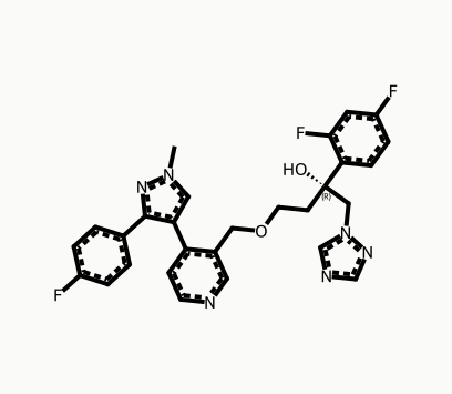 Cn1cc(-c2ccncc2COCC[C@](O)(Cn2cncn2)c2ccc(F)cc2F)c(-c2ccc(F)cc2)n1